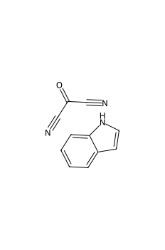 N#CC(=O)C#N.c1ccc2[nH]ccc2c1